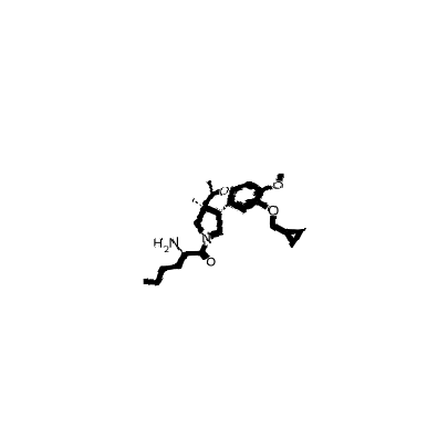 CCCC[C@H](N)C(=O)N1C[C@@H](c2ccc(OC)c(OCC3CC3)c2)[C@](C)([C@@H](C)O)C1